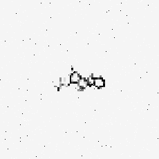 CCNCc1cc(C)cc(-n2nc3ccccc3n2)c1O